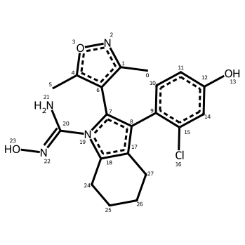 Cc1noc(C)c1-c1c(-c2ccc(O)cc2Cl)c2c(n1/C(N)=N/O)CCCC2